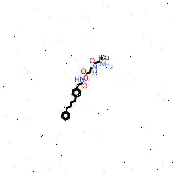 CC[C@@H](C)C(N)C(=O)NCCC(=O)ONC(=O)Cc1ccc(CCCCc2ccccc2)cc1